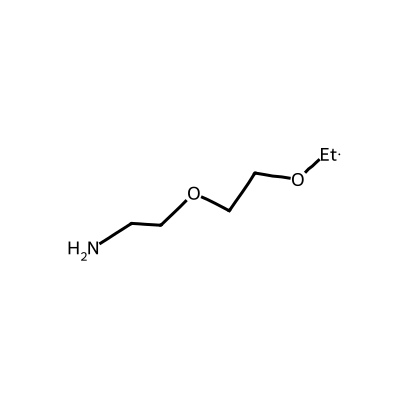 C[CH]OCCOCCN